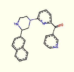 O=C(c1cccnc1)c1cccc(N2CCNC(c3ccc4ccccc4c3)C2)n1